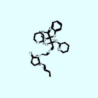 CC/C=C/[C@H]1CCC(=O)[C@@H]1CC=C=CC([16O]C1CCCCO1)([16O]C1CCCCO1)C(OC)(Oc1ccccc1)C(=O)O